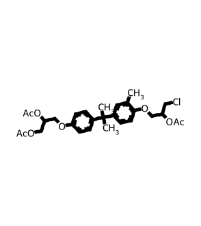 CC(=O)OCC(COc1ccc(C(C)(C)c2ccc(OCC(CCl)OC(C)=O)c(C)c2)cc1)OC(C)=O